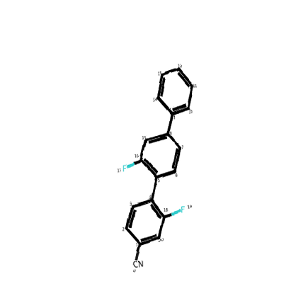 N#Cc1ccc(-c2ccc(-c3ccccc3)cc2F)c(F)c1